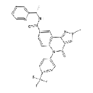 C=C1c2cn(C)nc2-c2cc(C(=O)N[C@@H](C)c3ccccn3)ccc2N1c1ccc(C(F)(F)F)cc1